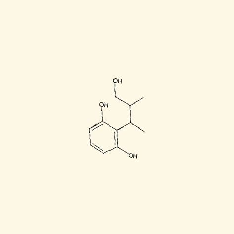 CC(CO)C(C)c1c(O)cccc1O